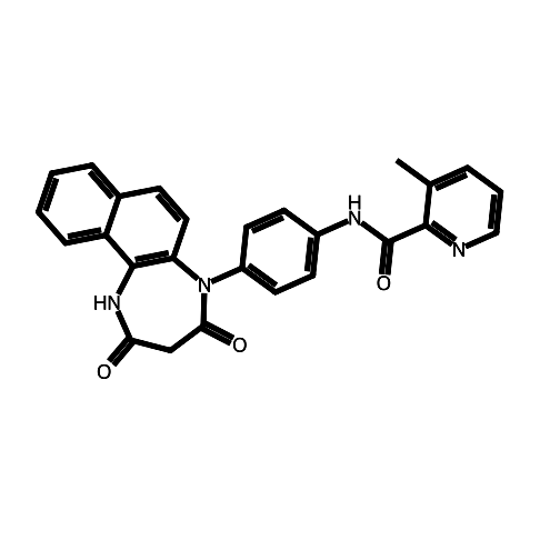 Cc1cccnc1C(=O)Nc1ccc(N2C(=O)CC(=O)Nc3c2ccc2ccccc32)cc1